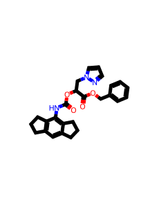 O=C(Nc1c2c(cc3c1CCC3)CCC2)OC(Cn1cccn1)C(=O)OCc1ccccc1